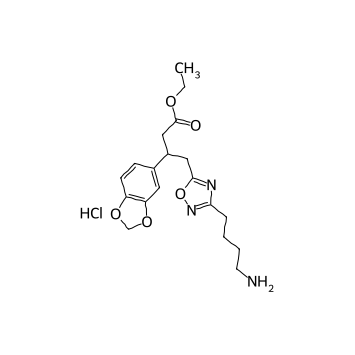 CCOC(=O)CC(Cc1nc(CCCCN)no1)c1ccc2c(c1)OCO2.Cl